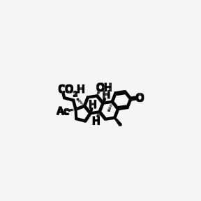 CC(=O)[C@@]1(CCC(=O)O)CC[C@H]2[C@@H]3C[C@H](C)C4=CC(=O)C=C[C@]4(C)[C@H]3[C@@H](O)C[C@@]21C